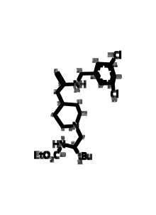 C=C(CC1CCN(CC(NC(=O)OCC)C(C)(C)C)CC1)NCc1cc(Cl)cc(Cl)c1